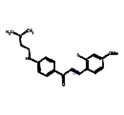 COc1ccc(/C=C/C(=O)c2ccc(NCCN(C)C)cc2)c(F)c1